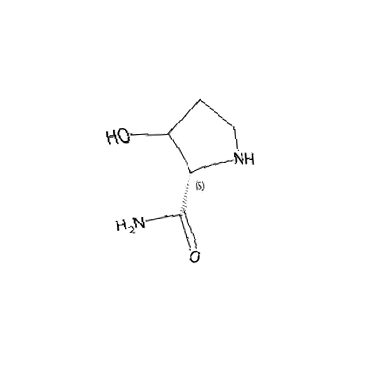 NC(=O)[C@H]1NCCC1O